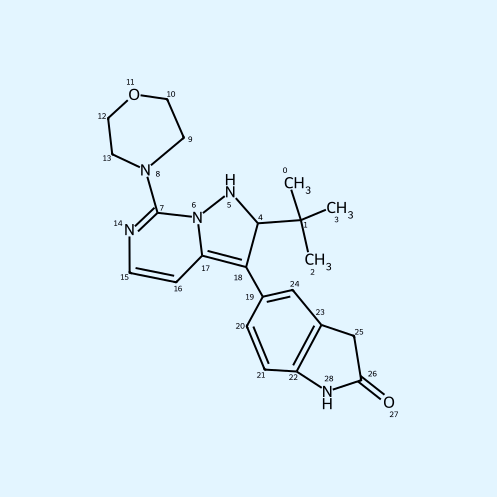 CC(C)(C)C1NN2C(N3CCOCC3)=NC=CC2=C1c1ccc2c(c1)CC(=O)N2